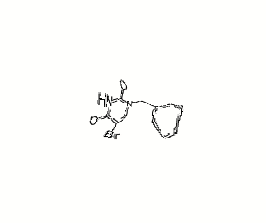 O=c1[nH]c(=O)n(Cc2ccccc2)cc1Br